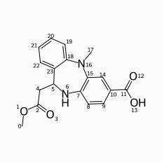 COC(=O)CC1Nc2ccc(C(=O)O)cc2N(C)c2ccccc21